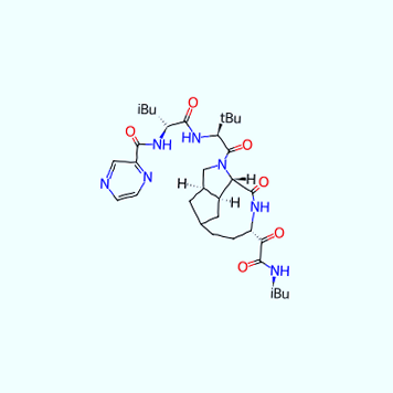 CC[C@H](C)NC(=O)C(=O)[C@@H]1CCC2C[C@H]3CN(C(=O)[C@@H](NC(=O)[C@@H](NC(=O)c4cnccn4)[C@@H](C)CC)C(C)(C)C)[C@H](C(=O)N1)[C@H]3C2